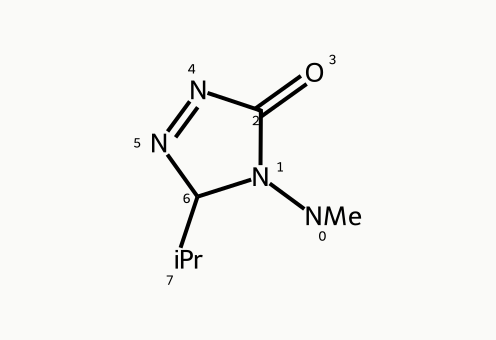 CNN1C(=O)N=NC1C(C)C